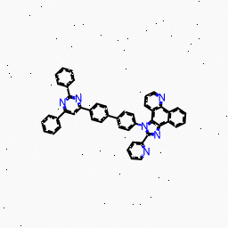 c1ccc(-c2cc(-c3ccc(-c4ccc(-n5c(-c6ccccn6)nc6c7ccccc7c7ncccc7c65)cc4)cc3)nc(-c3ccccc3)n2)cc1